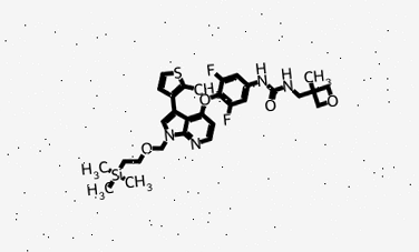 Cc1sccc1-c1cn(COCC[Si](C)(C)C)c2nccc(Oc3c(F)cc(NC(=O)NCC4(C)COC4)cc3F)c12